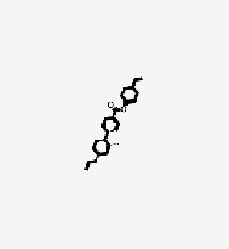 CCC[C@H]1CC[C@@H]([C@H]2CC[C@H](C(=O)OC3CCC(CC)CC3)CC2)[C@H](C)C1